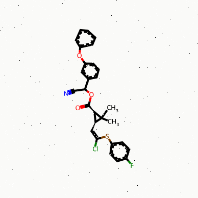 CC1(C)[C@H](C(=O)OC(C#N)c2cccc(Oc3ccccc3)c2)[C@@H]1/C=C(/Cl)Sc1ccc(F)cc1